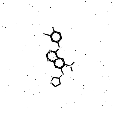 CN(C)c1cc2c(Nc3ccc(F)c(Cl)c3)ncnc2cc1O[C@H]1CCOC1